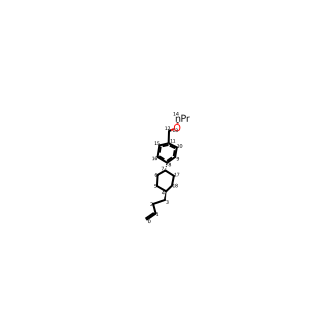 C=CCC[C@H]1CC[C@H](c2ccc(COCCC)cc2)CC1